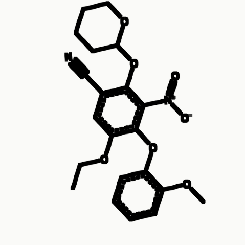 CCOc1cc(C#N)c(OC2CCCCO2)c([N+](=O)[O-])c1Oc1ccccc1OC